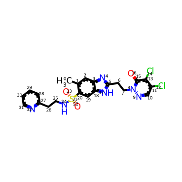 Cc1cc2nc(CCn3ncc(Cl)c(Cl)c3=O)[nH]c2cc1S(=O)(=O)NCCc1ccccn1